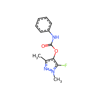 Cc1nn(C)c(F)c1OC(=O)Nc1ccccc1